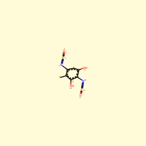 Cc1c(N=C=O)cc(O)c(N=C=O)c1O